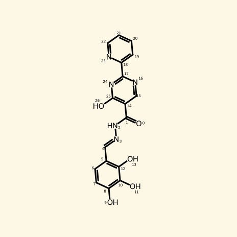 O=C(NN=Cc1ccc(O)c(O)c1O)c1cnc(-c2ccccn2)nc1O